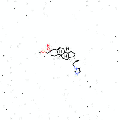 C=C(Cn1ccnc1)[C@H]1CC[C@H]2[C@@H]3CC=C4C[C@@](O)(COC)CC[C@@H]4[C@H]3CC[C@]12C